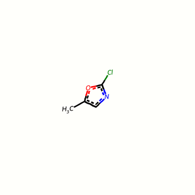 Cc1cnc(Cl)o1